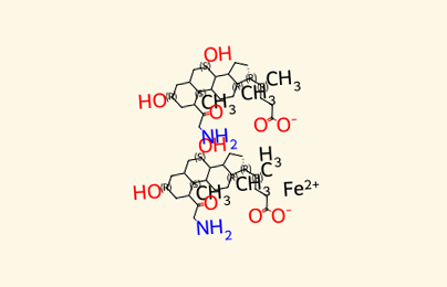 C[C@H](CCC(=O)[O-])[C@H]1CCC2C3C(CC[C@@]21C)[C@]1(C)C(C[C@@H](O)CC1C(=O)CN)C[C@@H]3O.C[C@H](CCC(=O)[O-])[C@H]1CCC2C3C(CC[C@@]21C)[C@]1(C)C(C[C@@H](O)CC1C(=O)CN)C[C@@H]3O.[Fe+2]